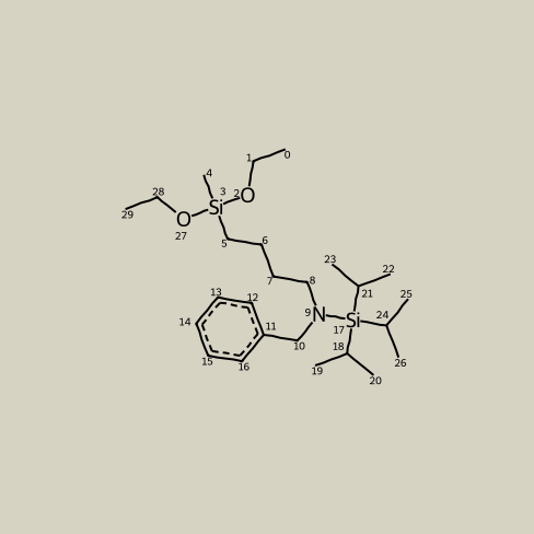 CCO[Si](C)(CCCCN(Cc1ccccc1)[Si](C(C)C)(C(C)C)C(C)C)OCC